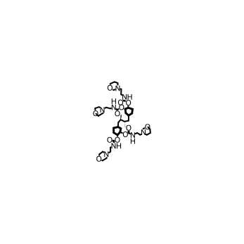 C[C@H](Cc1ccc(OC(=O)NCCN2CCOCC2)c(OC(=O)NCCN2CCCOC2)c1)[C@@H](C)Cc1ccc(OC(=O)NCCN2CCCOC2)c(OC(=O)NCCN2CCOCC2)c1